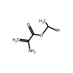 C=C(N)C(=O)OC(C)C(C)C